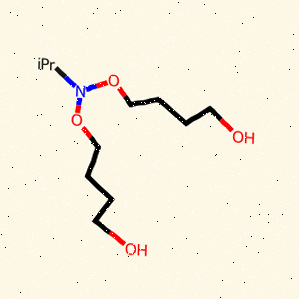 CC(C)N(OCCCCO)OCCCCO